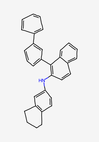 c1ccc(-c2cccc(-c3c(Nc4ccc5c(c4)CCCC5)ccc4ccccc34)c2)cc1